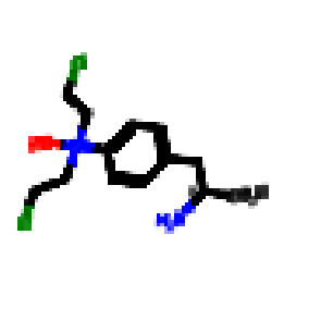 N[C@@H](Cc1ccc([N+](O)(CCCl)CCCl)cc1)C(=O)O